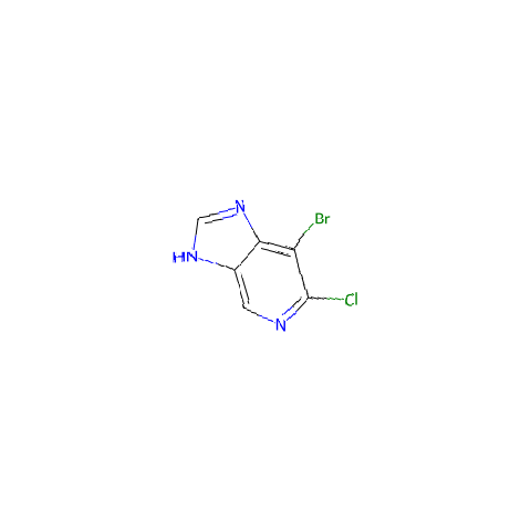 Clc1ncc2[nH]cnc2c1Br